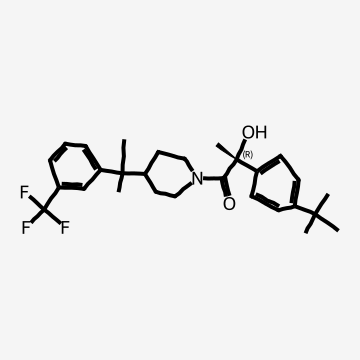 CC(C)(C)c1ccc([C@@](C)(O)C(=O)N2CCC(C(C)(C)c3cccc(C(F)(F)F)c3)CC2)cc1